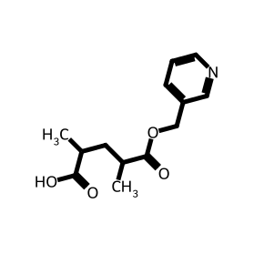 CC(CC(C)C(=O)OCc1cccnc1)C(=O)O